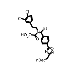 CCCCCCCCCCCc1noc(-c2ccc(C(CC)N(CCc3ccc(Cl)c(Cl)c3)C(=O)C(=O)O)cc2)n1